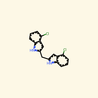 Clc1cccc2[nH]c(Cc3cc4c(Cl)cccc4[nH]3)cc12